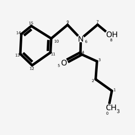 CCCCC(=O)N(CO)Cc1ccccc1